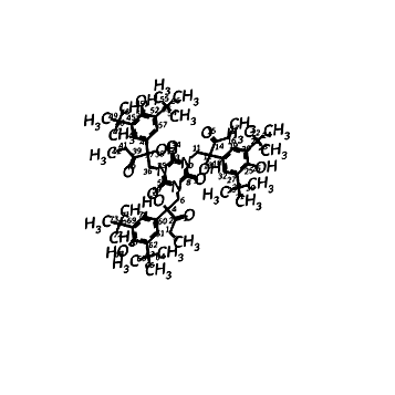 CCC(=O)C(O)(Cn1c(=O)n(CC(O)(C(=O)CC)c2cc(C(C)(C)C)c(O)c(C(C)(C)C)c2)c(=O)n(CC(O)(C(=O)CC)c2cc(C(C)(C)C)c(O)c(C(C)(C)C)c2)c1=O)c1cc(C(C)(C)C)c(O)c(C(C)(C)C)c1